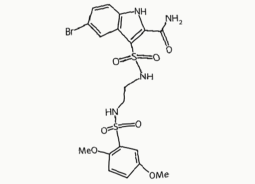 COc1ccc(OC)c(S(=O)(=O)NCCNS(=O)(=O)c2c(C(N)=O)[nH]c3ccc(Br)cc23)c1